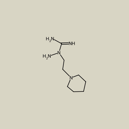 N=C(N)N(N)CCN1CCCCC1